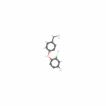 Fc1ccc(Oc2ccc(CCl)cc2)c(F)c1